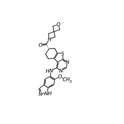 COc1cc2[nH]ncc2cc1Nc1ncnc2sc3c(c12)CC[C@H](C(=O)N1CC2(COC2)C1)C3